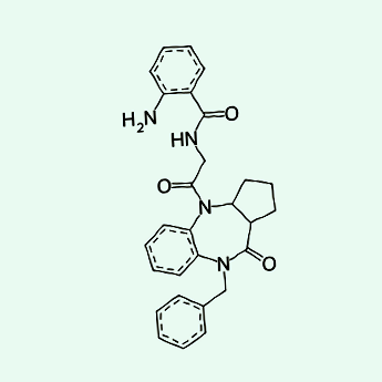 Nc1ccccc1C(=O)NCC(=O)N1c2ccccc2N(Cc2ccccc2)C(=O)C2CCCC21